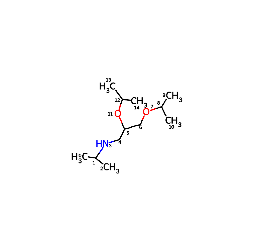 CC(C)NCC(COC(C)C)OC(C)C